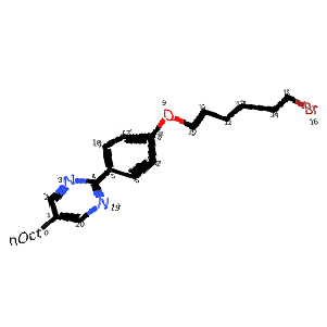 CCCCCCCCc1cnc(-c2ccc(OCCCCCCBr)cc2)nc1